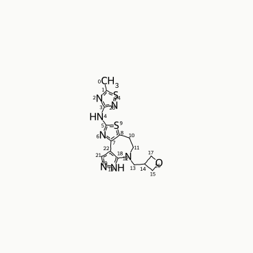 Cc1nc(Nc2nc3c(s2)CCN(CC2COC2)c2[nH]ncc2-3)ns1